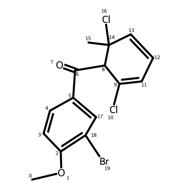 COc1ccc(C(=O)C2C(Cl)=CC=CC2(C)Cl)cc1Br